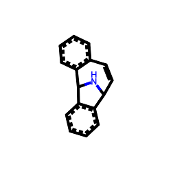 C1=CC2NC(c3ccccc31)c1ccccc12